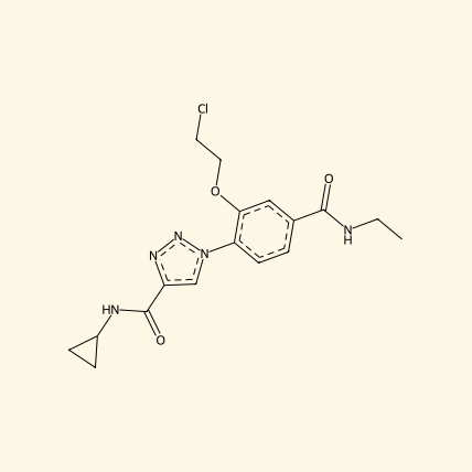 CCNC(=O)c1ccc(-n2cc(C(=O)NC3CC3)nn2)c(OCCCl)c1